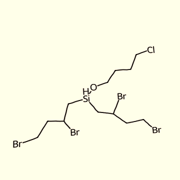 ClCCCCO[SiH](CC(Br)CCBr)CC(Br)CCBr